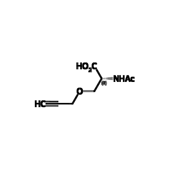 C#CCOC[C@@H](NC(C)=O)C(=O)O